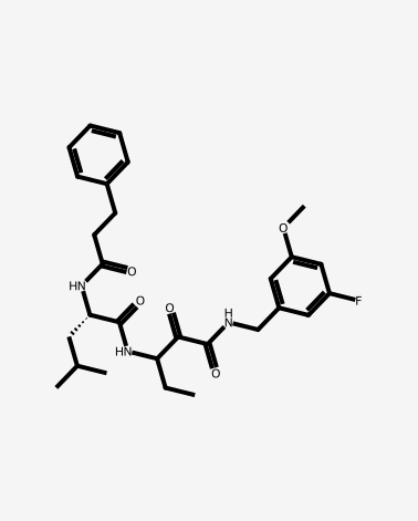 CCC(NC(=O)[C@H](CC(C)C)NC(=O)CCc1ccccc1)C(=O)C(=O)NCc1cc(F)cc(OC)c1